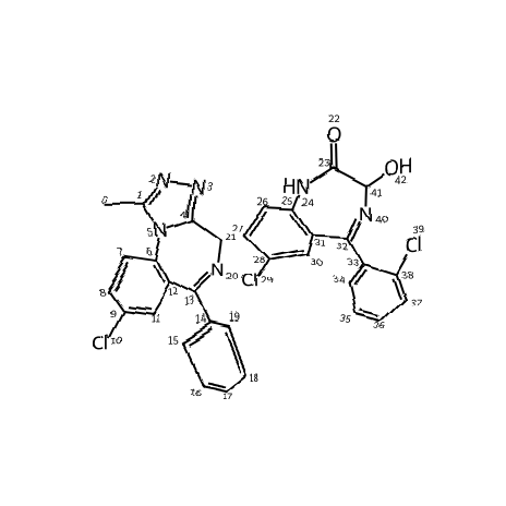 Cc1nnc2n1-c1ccc(Cl)cc1C(c1ccccc1)=NC2.O=C1Nc2ccc(Cl)cc2C(c2ccccc2Cl)=NC1O